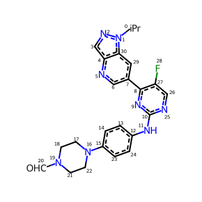 CC(C)n1ncc2ncc(-c3nc(Nc4ccc(N5CCN(C=O)CC5)cc4)ncc3F)cc21